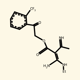 CCN/C(N)=C(\C(C)=N)C(=O)OCC(=O)c1ccccc1C(F)(F)F